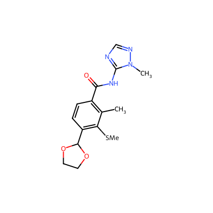 CSc1c(C2OCCO2)ccc(C(=O)Nc2ncnn2C)c1C